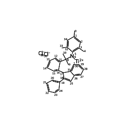 Cc1cc(C)c([N]([Ti+2])C(C)(C)c2ccccc2C2C(c3ccccc3)=Cc3ccccc32)c(C)c1.[Cl-].[Cl-]